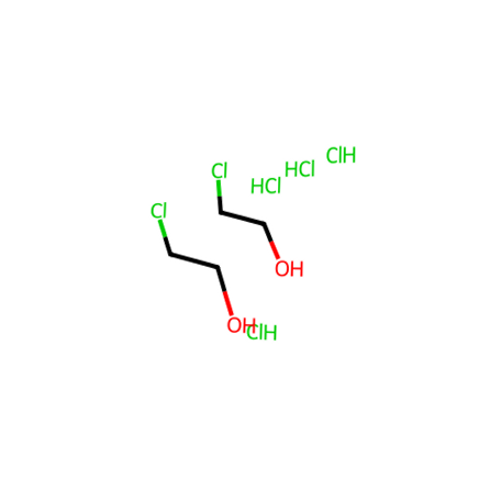 Cl.Cl.Cl.Cl.OCCCl.OCCCl